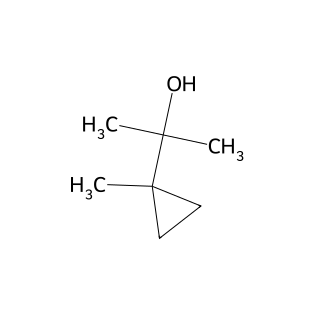 CC(C)(O)C1(C)CC1